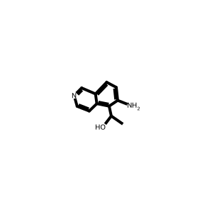 CC(O)c1c(N)ccc2cnccc12